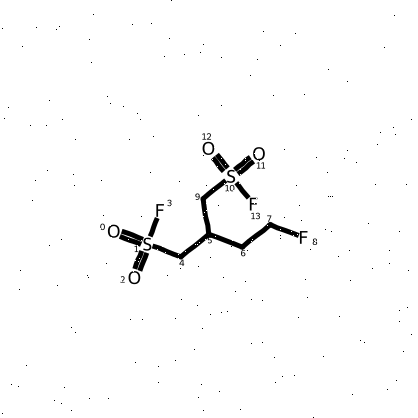 O=S(=O)(F)CC(CCF)CS(=O)(=O)F